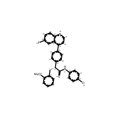 COc1ccccc1C[C@@H](C(=S)Nc1ccc(Cl)cc1)c1ccc(-c2ccnc3ccc(F)cc23)cc1